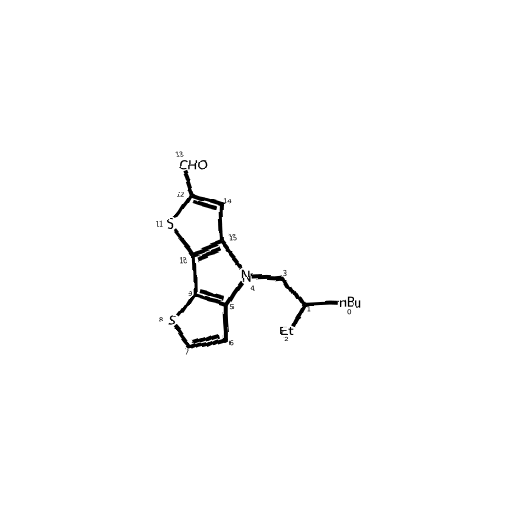 CCCCC(CC)Cn1c2ccsc2c2sc(C=O)cc21